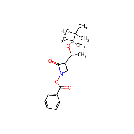 C[C@@H](O[Si](C)(C)C(C)(C)C)[C@H]1CN(OC(=O)c2ccccc2)C1=O